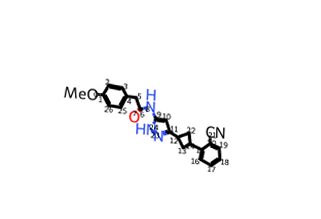 COc1ccc(CC(=O)Nc2cc(C3CC(c4ccccc4C#N)C3)n[nH]2)cc1